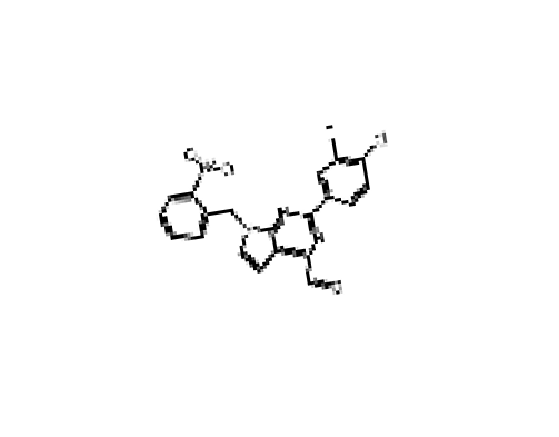 O=Cc1nc(-c2ccc(Cl)c(F)c2)nc2c1ccn2Cc1ccccc1[N+](=O)[O-]